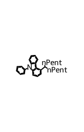 CCCCCC(CCCCC)c1cccc2c1c1ccccc1n2-c1ccccc1